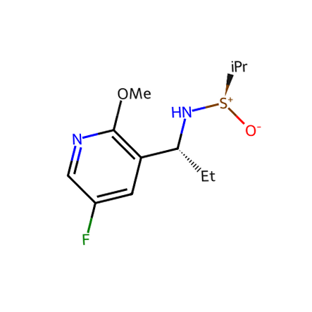 CC[C@@H](N[S@+]([O-])C(C)C)c1cc(F)cnc1OC